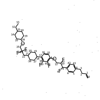 C=CCCc1ccc(C(F)C(F)COc2ccc(C3CCC(CC(F)(F)COC4CCC(CC)CC4)CC3)c(F)c2F)cc1